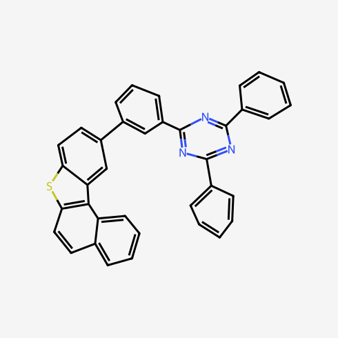 c1ccc(-c2nc(-c3ccccc3)nc(-c3cccc(-c4ccc5sc6ccc7ccccc7c6c5c4)c3)n2)cc1